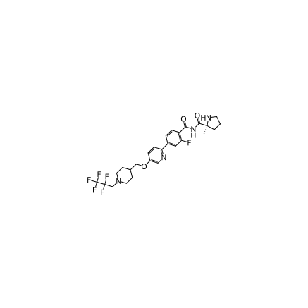 C[C@@]1(C(=O)NC(=O)c2ccc(-c3ccc(OCC4CCN(CC(F)(F)C(F)(F)F)CC4)cn3)cc2F)CCCN1